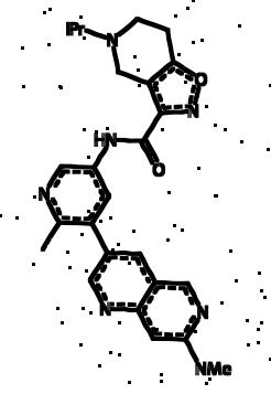 CNc1cc2ncc(-c3cc(NC(=O)c4noc5c4CN(C(C)C)CC5)cnc3C)cc2cn1